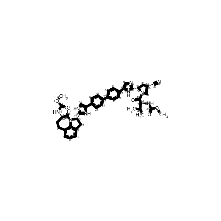 COC(=O)N[C@H]1CCc2cccc3c2N(C1=O)[C@H](c1ncc(-c2ccc(-c4ccc(-c5cnc([C@@H]6C[C@H](C#N)CN6C(=O)[C@@H](NC(=O)OC)C(C)C)[nH]5)cc4)cc2)[nH]1)C3